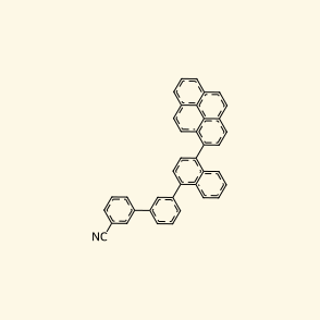 N#Cc1cccc(-c2cccc(-c3ccc(-c4ccc5ccc6cccc7ccc4c5c67)c4ccccc34)c2)c1